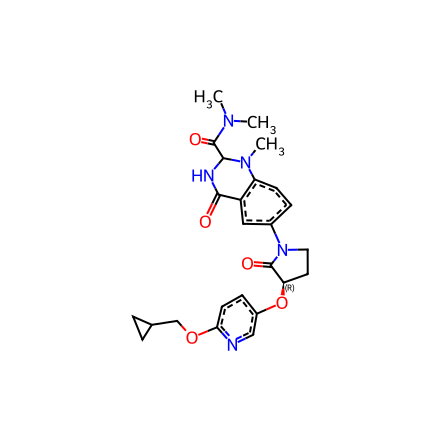 CN(C)C(=O)C1NC(=O)c2cc(N3CC[C@@H](Oc4ccc(OCC5CC5)nc4)C3=O)ccc2N1C